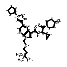 C[Si](C)(C)CCOCn1cc(C(=O)N[C@@H](C(=O)N2CCC(C#N)CC2)C2CC2)c2nc(-c3cn(C4CCCC4)nn3)cnc21